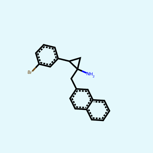 NC1(Cc2ccc3ccccc3c2)CC1c1cccc(Br)c1